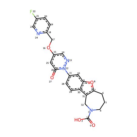 O=C(O)N1CCCc2oc3cc(-n4ncc(OCc5ccc(F)cn5)cc4=O)ccc3c2C1